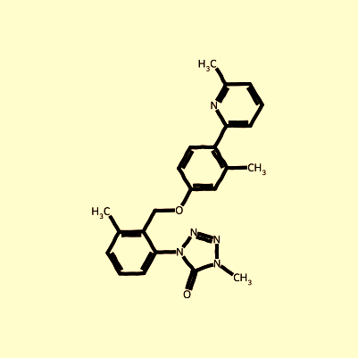 Cc1cccc(-c2ccc(OCc3c(C)cccc3-n3nnn(C)c3=O)cc2C)n1